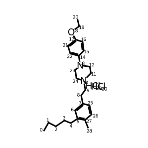 CCCCCc1cc(CCN2CCN(c3ccc(OCC)cc3)CC2)ccc1C.Cl.Cl